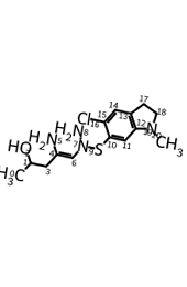 CC(O)C/C(N)=C/N(N)Sc1cc2c(cc1Cl)CCN2C